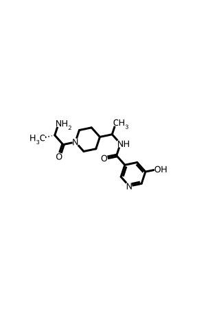 CC(NC(=O)c1cncc(O)c1)C1CCN(C(=O)[C@H](C)N)CC1